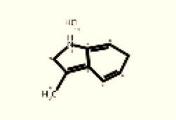 CC1=C2C=CCC=C2NC1.Cl